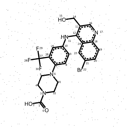 O=C(O)N1CCN(c2ccc(Nc3c(CO)cnc4ccc(Br)cc34)cc2C(F)(F)F)CC1